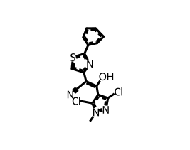 Cn1nc(Cl)c(C(O)=C(C#N)c2csc(-c3ccccc3)n2)c1Cl